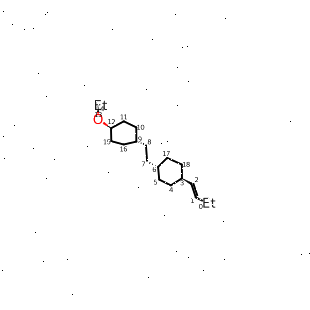 CCC=C[C@H]1CC[C@H](CC[C@H]2CC[C@H](OCC)CC2)CC1